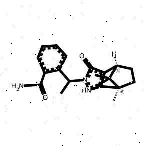 CC(c1ccccc1C(N)=O)n1[nH]c2c(c1=O)[C@H]1CC[C@]2(C)C1(C)C